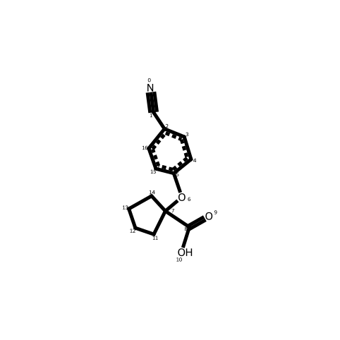 N#Cc1ccc(OC2(C(=O)O)CCCC2)cc1